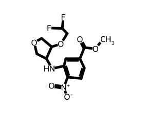 COC(=O)c1ccc([N+](=O)[O-])c(NC2COCC2OCC(F)F)c1